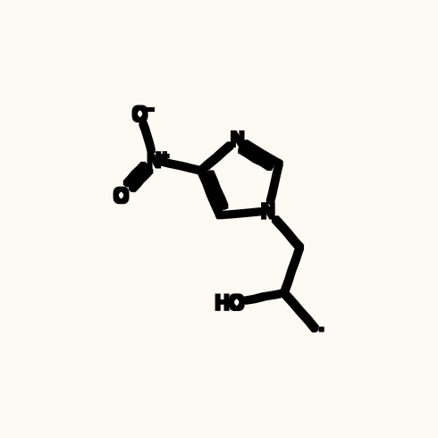 [CH2]C(O)Cn1cnc([N+](=O)[O-])c1